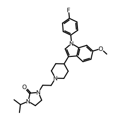 COc1ccc2c(C3CCN(CCN4CCN(C(C)C)C4=O)CC3)cn(-c3ccc(F)cc3)c2c1